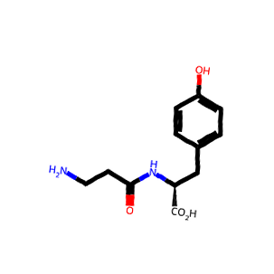 NCCC(=O)N[C@@H](Cc1ccc(O)cc1)C(=O)O